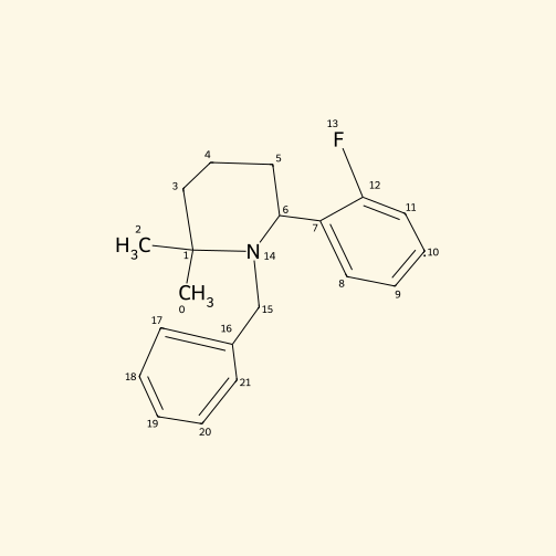 CC1(C)CCCC(c2cc[c]cc2F)N1Cc1ccccc1